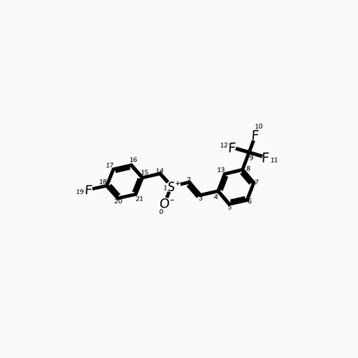 [O-][S+](C=Cc1cccc(C(F)(F)F)c1)Cc1ccc(F)cc1